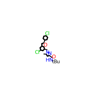 Cc1cc(C(=O)NC(C)(C)C)nn1Cc1cc(Cl)cc2cc(-c3ccc(Cl)cc3)oc12